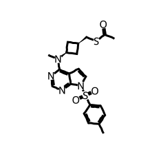 CC(=O)SC[C@H]1C[C@@H](N(C)c2ncnc3c2ccn3S(=O)(=O)c2ccc(C)cc2)C1